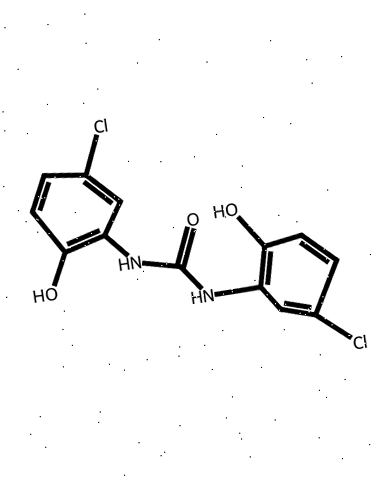 O=C(Nc1cc(Cl)ccc1O)Nc1cc(Cl)ccc1O